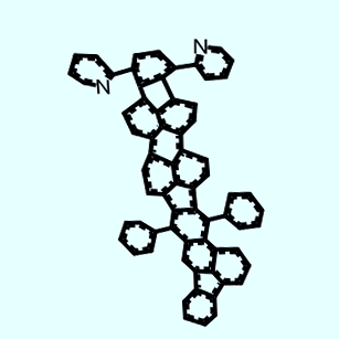 c1ccc(-c2c3cc4c5ccccc5c5cccc(c3c(-c3ccccc3)c3c6ccc7c8ccc9c%10c(ccc(c%11ccc(c23)c6c%117)c%108)-c2c(-c3ccccn3)ccc(-c3ccccn3)c2-9)c54)cc1